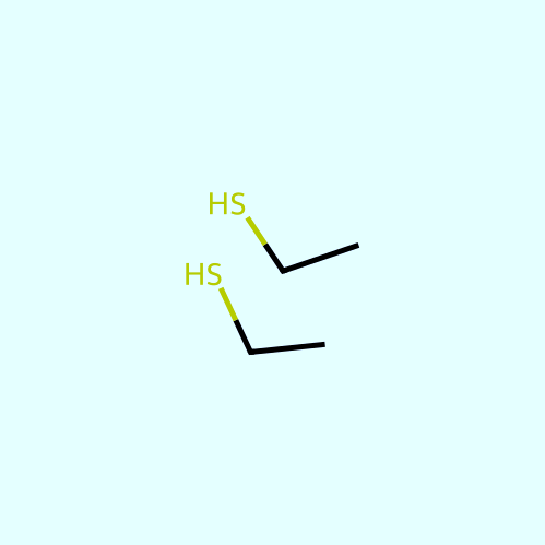 CCS.CCS